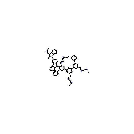 C=C/C=C\C=C\c1cc(-c2nc(C/C=C\C=C/C)nc(-c3cc(C/C=C\C=C/C)cc(C4=CC=CCC4)c3)n2)cc(-c2ccccc2)c1-n1c2ccccc2c2cc(-n3c(C)c(/C=C\C)c4ccccc43)ccc21